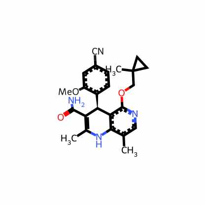 COc1cc(C#N)ccc1[C@@H]1C(C(N)=O)=C(C)Nc2c(C)cnc(OCC3(C)CC3)c21